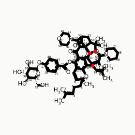 CC(C)=CCCC1(C)C=Cc2c(c(CC=C(C)C)c3c(c2OC(=O)c2ccc(O[C@@H]4O[C@H](CO)[C@@H](O)[C@H](O)[C@H]4O)cc2)C(=O)C2C(N4CCOCC4)C4CC5C(C)(C)OC(C/C=C(/C)C(=O)N6CCCCC6)(C4=O)C25O3)O1